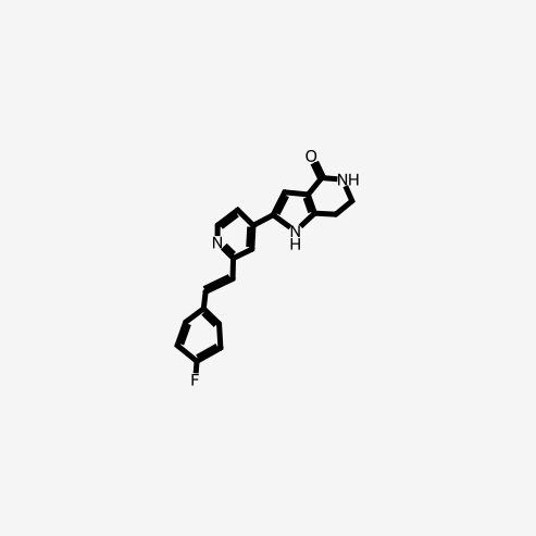 O=C1NCCc2[nH]c(-c3ccnc(C=Cc4ccc(F)cc4)c3)cc21